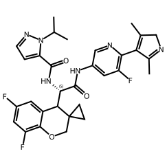 CC1=NCC(C)=C1c1ncc(NC(=O)[C@@H](NC(=O)c2ccnn2C(C)C)C2c3cc(F)cc(F)c3OCC23CC3)cc1F